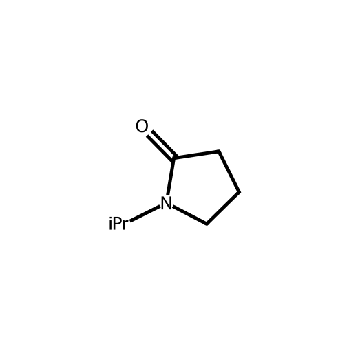 [CH2]C(C)N1CCCC1=O